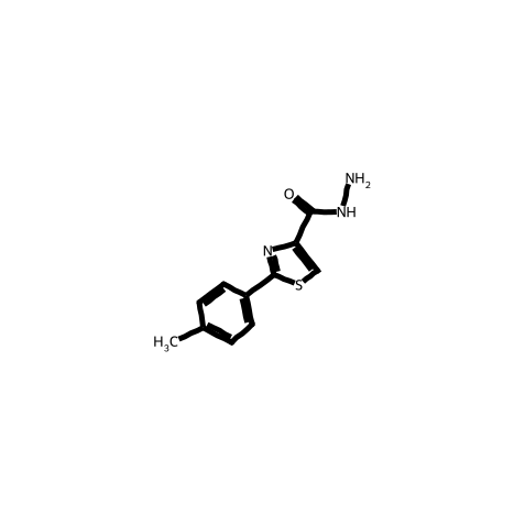 Cc1ccc(-c2nc(C(=O)NN)cs2)cc1